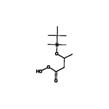 CC(CC(=O)OO)O[Si](C)(C)C(C)(C)C